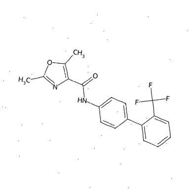 Cc1nc(C(=O)Nc2ccc(-c3ccccc3C(F)(F)F)cc2)c(C)o1